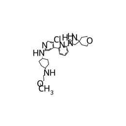 COCCN[C@H]1CC[C@H](Nc2cc(-c3cccc(NCC4(N)CCOCC4)n3)c(Cl)cn2)CC1